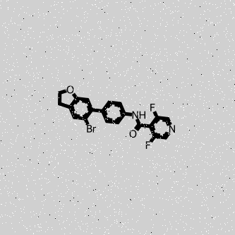 O=C(Nc1ccc(-c2cc3c(cc2Br)CCO3)cc1)c1c(F)cncc1F